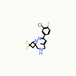 C/C1=C\C(c2ccc(F)c(Cl)c2)=N/N2C3C(F)(F)CC32CNC1